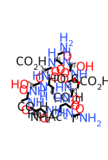 CC(=O)N[C@H](CC(N)=O)C(=O)NC(CC(=O)O)C(=O)N[C@H](CO)C(=O)NC(/C=C/C(=O)O)C(=O)N[C@H](CC(=O)O)C(=O)N[C@H](CC(N)=O)C(=O)N[C@H](CO)C(=O)N[C@@H](CC(=O)O)C(=O)N[C@H](CCC(=O)O)C(=O)NC(CCC(=O)O)C(=O)N[C@H](C)C(N)=O